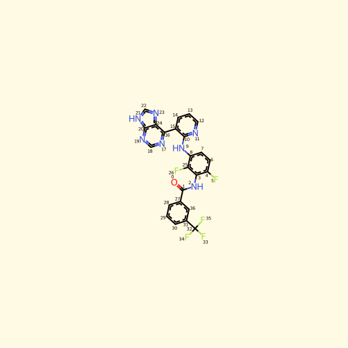 O=C(Nc1c(F)ccc(Nc2ncccc2-c2ncnc3[nH]cnc23)c1F)c1cccc(C(F)(F)F)c1